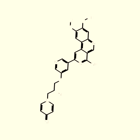 COc1cc2ncc3c(N)nc(-c4cncc(OC[C@H](N)Cn5ccc(=N)cc5)c4)cc3c2cc1OC